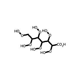 O=C(O)C(OO)C(OO)C(OO)C(OO)C(COO)OO